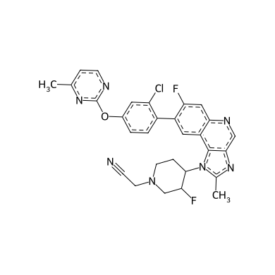 Cc1ccnc(Oc2ccc(-c3cc4c(cc3F)ncc3nc(C)n(C5CCN(CC#N)CC5F)c34)c(Cl)c2)n1